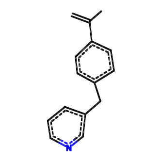 C=C(C)c1ccc(Cc2cccnc2)cc1